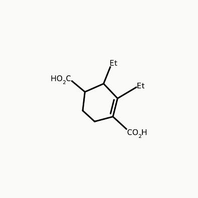 CCC1=C(C(=O)O)CCC(C(=O)O)C1CC